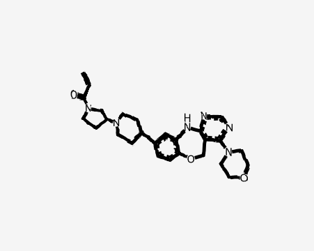 C=CC(=O)N1CCC(N2CCC(c3ccc4c(c3)Nc3ncnc(N5CCOCC5)c3CO4)CC2)C1